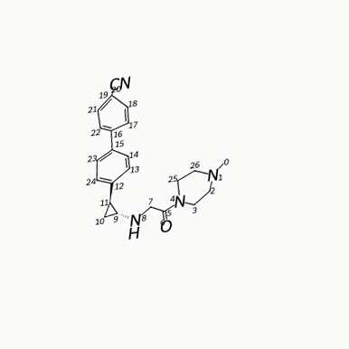 CN1CCN(C(=O)CN[C@@H]2C[C@H]2c2ccc(-c3ccc(C#N)cc3)cc2)CC1